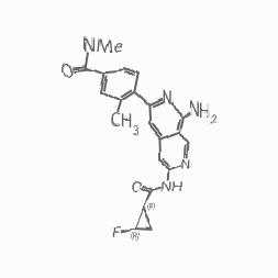 CNC(=O)c1ccc(-c2cc3cc(NC(=O)[C@H]4C[C@H]4F)ncc3c(N)n2)c(C)c1